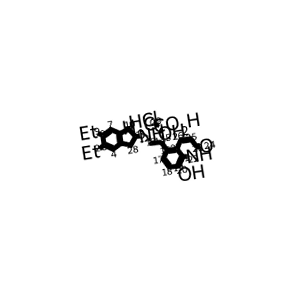 CC(=O)O.CCc1cc2c(cc1CC)CC(NCC(O)c1ccc(O)c3[nH]c(=O)ccc13)C2.Cl